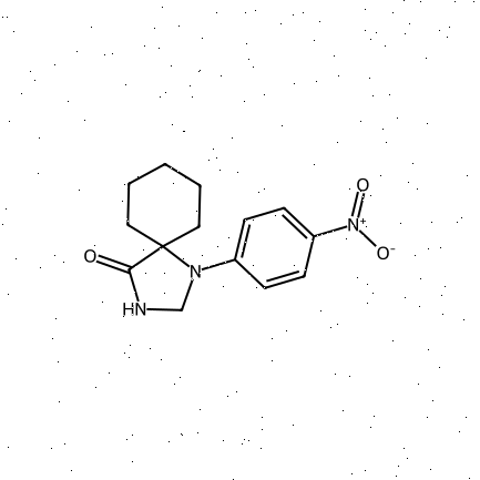 O=C1NCN(c2ccc([N+](=O)[O-])cc2)C12CCCCC2